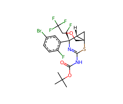 CC(C)(C)OC(=O)NC1=N[C@](CF)(c2cc(Br)ccc2F)[C@@H]2C[C@]2(COCC(F)(F)F)S1